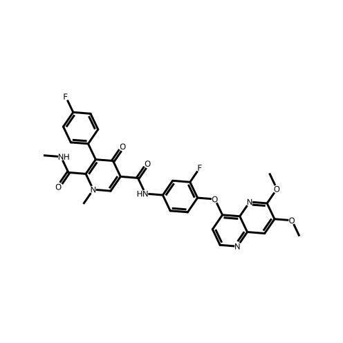 CNC(=O)c1c(-c2ccc(F)cc2)c(=O)c(C(=O)Nc2ccc(Oc3ccnc4cc(OC)c(OC)nc34)c(F)c2)cn1C